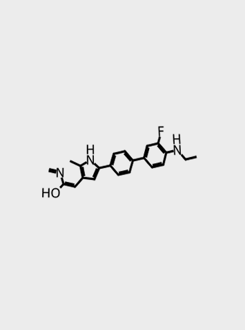 C=N/C(O)=C\c1cc(-c2ccc(-c3ccc(NCC)c(F)c3)cc2)[nH]c1C